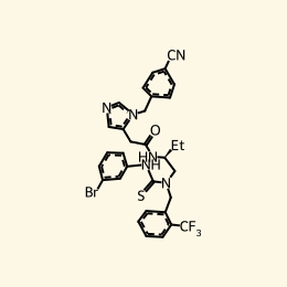 CC[C@@H](CN(Cc1ccccc1C(F)(F)F)C(=S)Nc1cccc(Br)c1)NC(=O)Cc1cncn1Cc1ccc(C#N)cc1